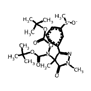 CN1N=C(c2cccc([S+](C)[O-])c2)C(C)(N(OC(=O)OC(C)(C)C)C(=O)OC(C)(C)C)C1=O